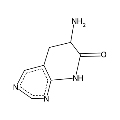 NC1Cc2cncnc2NC1=O